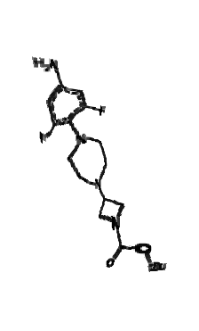 CC(C)(C)OC(=O)N1CC(N2CCN(c3c(F)cc(N)cc3F)CC2)C1